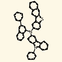 c1ccc(-c2cc(N(c3ccc4sc5cc6ccccc6cc5c4c3)c3ccc4c(c3)c3ccccc3n4-c3ccccc3)c3ccccc3c2)cc1